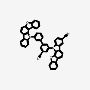 N#Cc1cc(-c2cccc(-n3c4ccccc4c4ccc5oc6ccccc6c5c43)c2)cc(-n2c3ccc(C#N)cc3c3ccc4c5ccccc5oc4c32)c1